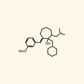 COc1cccc(/C=C2\CCCCC(CN(C)C)C2(O)CC2CCCCC2)c1